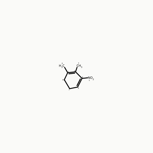 CC1=C(C)C([N+](=O)[O-])=CC[CH]1